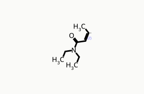 C/[C]=C\C(=O)N(CC)CC